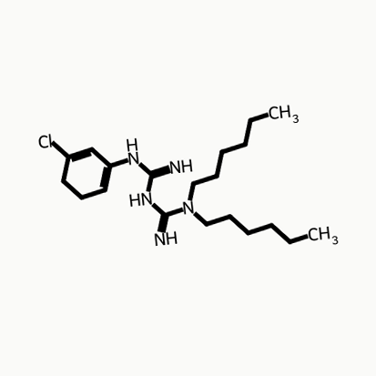 CCCCCCN(CCCCCC)C(=N)NC(=N)NC1=CCCC(Cl)=C1